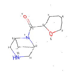 O=C(C1CCCO1)N1C2CNCC1C2